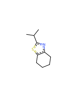 CC(C)c1nc2c(s1)CCCC2